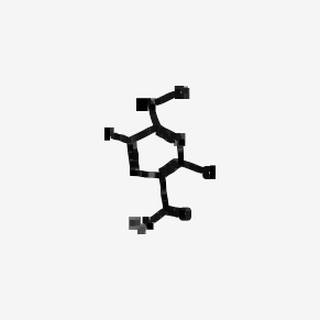 CCNc1nc(Cl)c(C(N)=O)cc1F